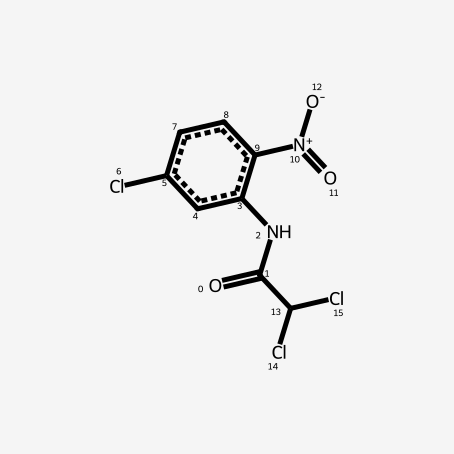 O=C(Nc1cc(Cl)ccc1[N+](=O)[O-])C(Cl)Cl